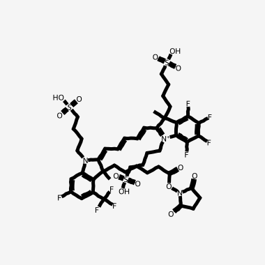 CC1(CCCCS(=O)(=O)O)C(/C=C/C=C/C=C2/N(CCCCS(=O)(=O)O)c3cc(F)cc(C(F)(F)F)c3C2(C)CCCCCC(=O)ON2C(=O)CCC2=O)=[N+](CCCCS(=O)(=O)O)c2c(F)c(F)c(F)c(F)c21